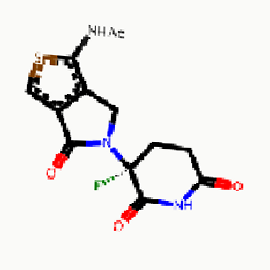 CC(=O)Nc1scc2c1CN([C@@]1(F)CCC(=O)NC1=O)C2=O